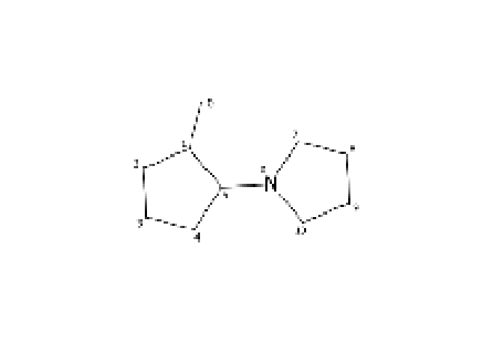 CC1CCCC1N1CCCC1